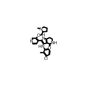 Cc1c(Cl)cccc1Nc1c(-c2ccncc2OCC2CCCN2C)[nH]c2c1C(=O)NCC2